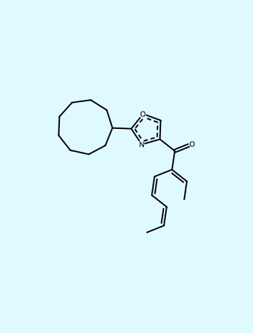 C\C=C/C=C\C(=C/C)C(=O)c1coc(C2CCCCCCCC2)n1